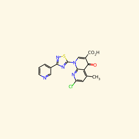 Cc1cc(Cl)nc2c1c(=O)c(C(=O)O)cn2-c1nc(-c2cccnc2)ns1